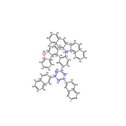 c1ccc2cc(-c3nc(-c4ccc(-n5c6cc7ccccc7cc6c6ccc7ccccc7c65)c(-c5cccc6oc7ccccc7c56)c4)nc(-c4ccc5ccccc5c4)n3)ccc2c1